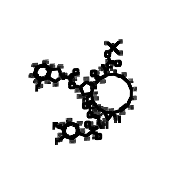 CC(C)(C)OC(=O)N[C@H]1CCCCC/C=C\[C@@H]2C[C@@]2(C(=O)NS(=O)(=O)Cc2ccc(F)c(F)c2)NC(=O)[C@@H]2C[C@@H](OC(=O)N3Cc4cccc(F)c4C3)CN2C1=O